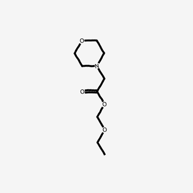 CCOCOC(=O)CN1CCOCC1